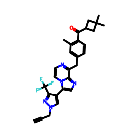 C#CCn1cc(-c2cnc3c(Cc4ccc(C(=O)C5CC(C)(C)C5)c(C)c4)nccn23)c(C(F)(F)F)n1